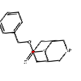 O=C(OCc1ccccc1)N1C2CNCC1COC2